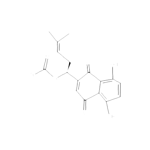 CC(C)=CC[C@H](OC(=O)C(C)C)C1=CC(=O)c2c(O)ccc(O)c2C1=O